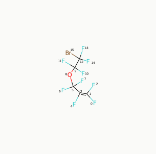 FC(F)=C(F)C(F)(F)OC(F)(F)C(F)(F)Br